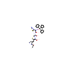 C#CC(=O)C1NCC/C1=C\C1=C(C(=O)O)N2C(=O)[C@@H](NC(=O)/C(=N\OC(c3ccccc3)(c3ccccc3)c3ccccc3)c3csc(N)n3)[C@H]2SC1